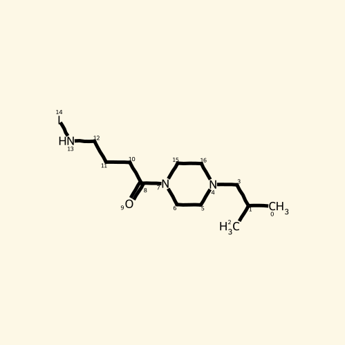 CC(C)CN1CCN(C(=O)CCCNI)CC1